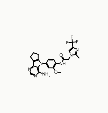 COc1cc(-n2c3c(c4ncnc(N)c42)CCC3)ccc1NC(=O)Cn1cc(C(F)(F)F)nc1C